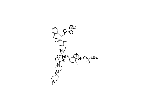 C=C(C(=O)C(COC(=O)C(C)(C)C)c1ccccc1C)C1CCN(C(=O)N[C@H](Cc2cc(C)c3c(cnn3COC(=O)C(C)(C)C)c2)C(=O)N2CCN(C3CCN(C)CC3)CC2)CC1